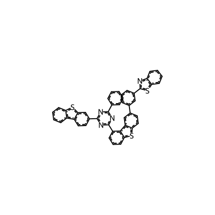 c1ccc(-c2nc(-c3ccc4c(c3)sc3ccccc34)nc(-c3cccc4sc5ccc(-c6cccc(-c7nc8ccccc8s7)c6)cc5c34)n2)cc1